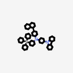 c1ccc([Si](c2ccccc2)(c2ccccc2)c2cccc(N(c3ccc(-c4cccc5ccccc45)cc3)c3ccc(-n4c5ccccc5c5ccccc54)cc3)c2)cc1